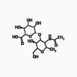 CC(=O)NC1C(C)OC(CO)[C@@H](O)C1O[C@@H]1OC(C(=O)O)[C@@H](O)C(O)C1O